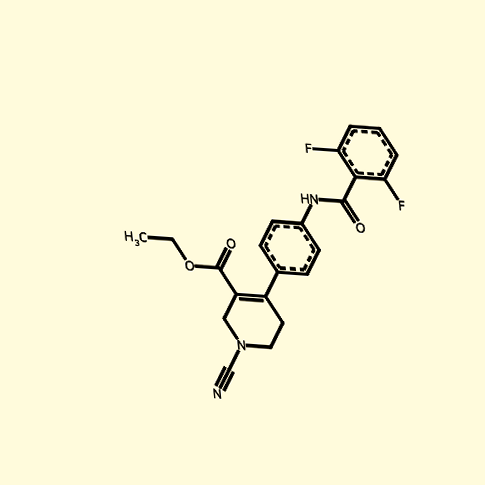 CCOC(=O)C1=C(c2ccc(NC(=O)c3c(F)cccc3F)cc2)CCN(C#N)C1